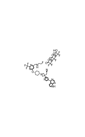 N#CCC1(n2cc(-c3ncnc4[nH]ccc34)cn2)CN([C@H]2CC[C@@H](Oc3cc(CNCCF)nc(C(F)(F)F)n3)CC2)C1.O=C(O)C(F)(F)F.O=C(O)C(F)(F)F.O=C(O)C(F)(F)F